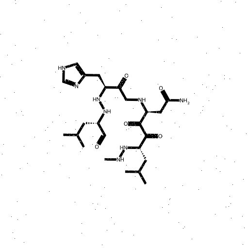 CNN[C@@H](CC(C)C)C(=O)C(=O)[C@H](CC(N)=O)NCC(=O)[C@H](Cc1c[nH]cn1)NN[C@H](C=O)CC(C)C